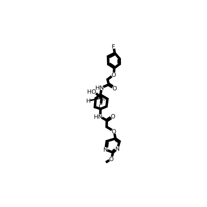 COc1ncc(OCC(=O)NC23CCC(NC(=O)COc4ccc(F)cc4)(CC2)[C@@H](O)C3)cn1